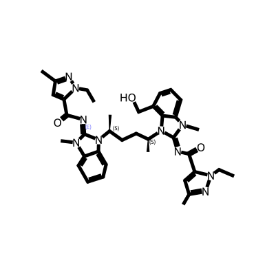 CCn1nc(C)cc1C(=O)N=c1n(C)c2cccc(CO)c2n1[C@@H](C)CC[C@H](C)n1/c(=N/C(=O)c2cc(C)nn2CC)n(C)c2ccccc21